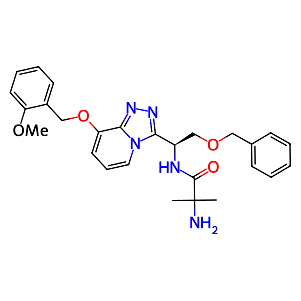 COc1ccccc1COc1cccn2c([C@@H](COCc3ccccc3)NC(=O)C(C)(C)N)nnc12